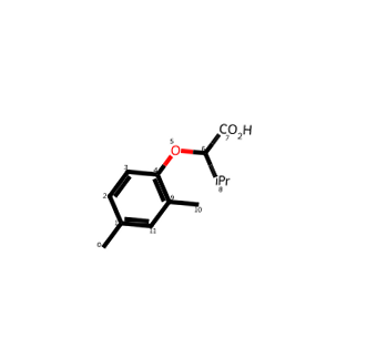 Cc1ccc(OC(C(=O)O)C(C)C)c(C)c1